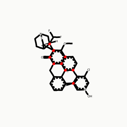 COc1cc([C@H](Cc2c(Cl)c[n+](O)cc2Cl)c2c(CN(C(=O)O[C@H]3CN4CCC3CC4)c3ccccc3F)cccc2C(=O)[O-])ccc1OC(F)F